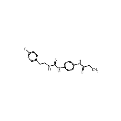 CCC(=O)Nc1ccc(NC(=S)NCCc2ccc(F)cc2)cc1